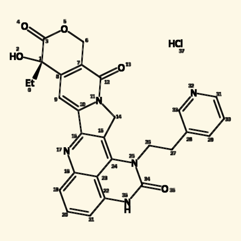 CC[C@@]1(O)C(=O)OCc2c1cc1n(c2=O)Cc2c-1nc1cccc3c1c2N(CCc1cccnc1)C(=O)N3.Cl